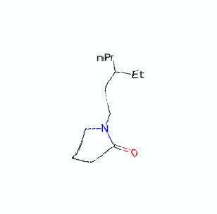 CCCC(CC)CCN1CCCC1=O